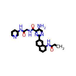 C=CC(=O)Nc1cccc2ccc(-c3ncc(N)c(C(=O)NCC(=O)Nc4cccnc4)n3)cc12